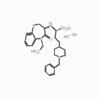 CCOC(=O)[C@@H](CCC1CCN(Cc2ccccc2)CC1)NC1CSc2ccccc2N(CC(=O)O)C1=O.Cl.Cl